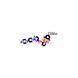 COc1cc(C)c(S(=O)(=O)N2CCC[C@H]2COc2ccnc(N3CCC(N4CCN(C)CC4)CC3)n2)c(C)c1